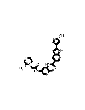 C[C@@H]1COCCN1CC(=O)Nc1cnc(F)c(NC(=O)c2cnc3[nH]c(-c4cnn(C)c4)cc3c2)c1